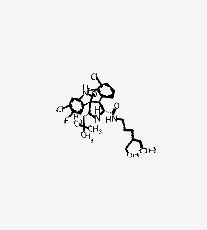 CC(C)(C)C[C@H]1N[C@@H](C(=O)NCCCC(CO)CO)[C@H](c2cccc(Cl)c2F)[C@@]12C(=O)Nc1cc(Cl)c(F)cc12